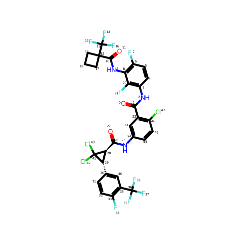 O=C(Nc1ccc(F)c(NC(=O)C2(C(F)(F)F)CCC2)c1F)c1cc(NC(=O)[C@H]2[C@H](c3ccc(F)c(C(F)(F)F)c3)C2(Cl)Cl)ccc1Cl